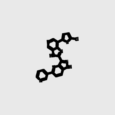 Clc1ccc(-c2cncc3[nH]c(-c4n[nH]c5ccc(-c6cccnc6)nc45)nc23)s1